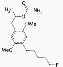 COc1cc(CC(C)OC(N)=O)c(OC)cc1CCCCCF